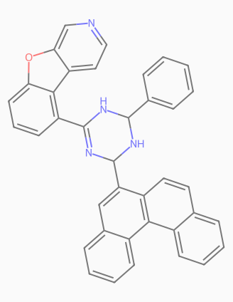 c1ccc(C2NC(c3cccc4oc5cnccc5c34)=NC(c3cc4ccccc4c4c3ccc3ccccc34)N2)cc1